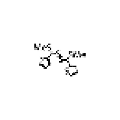 CSC(SSC(SC)c1cccs1)c1cccs1